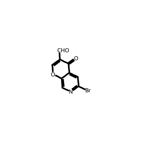 O=Cc1coc2cnc(Br)cc2c1=O